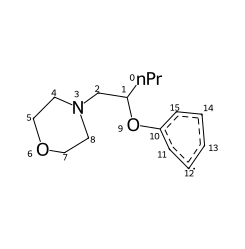 CCCC(CN1CCOCC1)Oc1c[c]ccc1